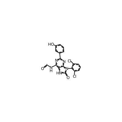 O=[C]Nc1nc(-c2cccc(O)c2)nc2c1[nH]c(=O)n2-c1c(Cl)cccc1Cl